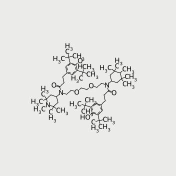 CC1C(C)(C)CC(N(CCOCCOCCN(C(=O)CCc2cc(C(C)(C)C)c(O)c(C(C)(C)C)c2)C2CC(C)(C)N(C)C(C)(C)C2)C(=O)CCc2cc(C(C)(C)C)c(O)c(C(C)(C)C)c2)CC1(C)C